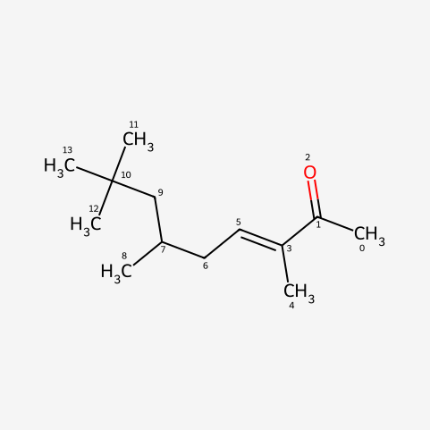 CC(=O)/C(C)=C/CC(C)CC(C)(C)C